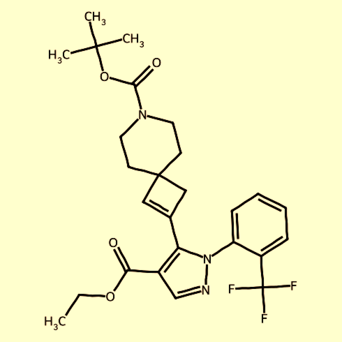 CCOC(=O)c1cnn(-c2ccccc2C(F)(F)F)c1C1=CC2(CCN(C(=O)OC(C)(C)C)CC2)C1